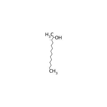 CCCCCCCCCCC[CH]C(C)O